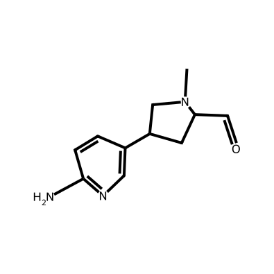 CN1CC(c2ccc(N)nc2)CC1C=O